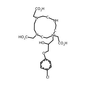 O=C(O)CN1CCNCC[N+](CC(=O)O)(CC(O)COc2ccc(Cl)cc2)CCN(CC(=O)O)CC1